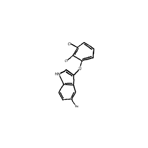 Clc1cccc(Oc2c[nH]c3ccc(Br)cc23)c1Cl